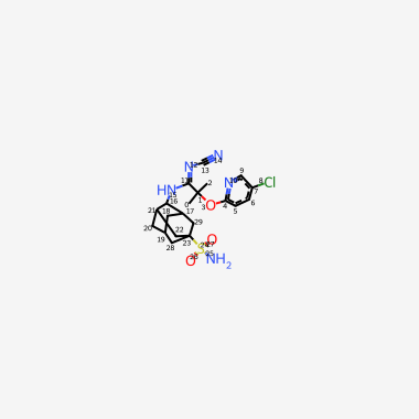 CC(C)(Oc1ccc(Cl)cn1)/C(=N\C#N)NC1C2CC3CC1CC(S(N)(=O)=O)(C3)C2